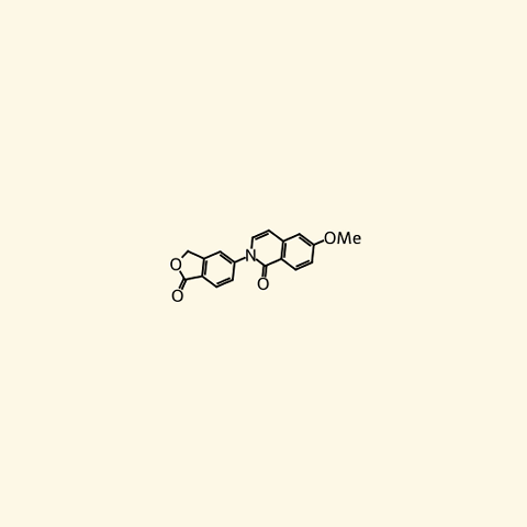 COc1ccc2c(=O)n(-c3ccc4c(c3)COC4=O)ccc2c1